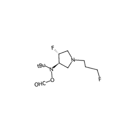 CC(C)(C)N(OC=O)[C@@H]1CN(CCCF)C[C@H]1F